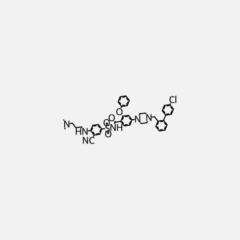 CN(C)CCCNc1ccc(S(=O)(=O)NC(=O)c2ccc(N3CCN(Cc4ccccc4-c4ccc(Cl)cc4)CC3)cc2Oc2ccccc2)cc1C#N